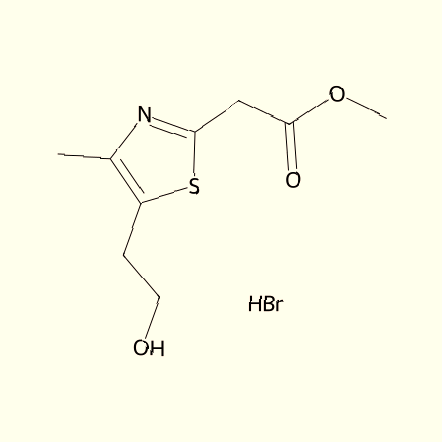 Br.COC(=O)Cc1nc(C)c(CCO)s1